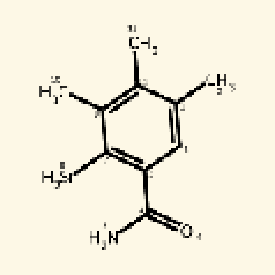 Cc1cc(C(N)=O)c([SiH3])c(C)c1C